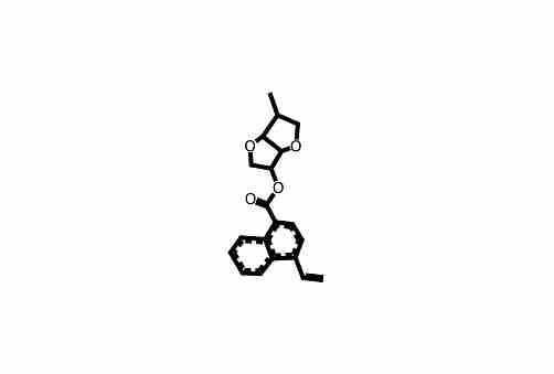 C=Cc1ccc(C(=O)OC2COC3C(C)COC23)c2ccccc12